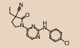 CCC1(C#N)CCN(c2ccnc(Nc3ccc(Cl)cc3)n2)C1=O